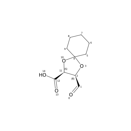 O=C[C@@H]1OC2(CCCCC2)O[C@@H]1C(=O)O